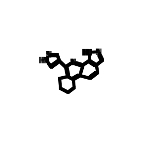 c1n[nH]cc1-c1nc2c(ccc3cn[nH]c32)c2c1CCCC2